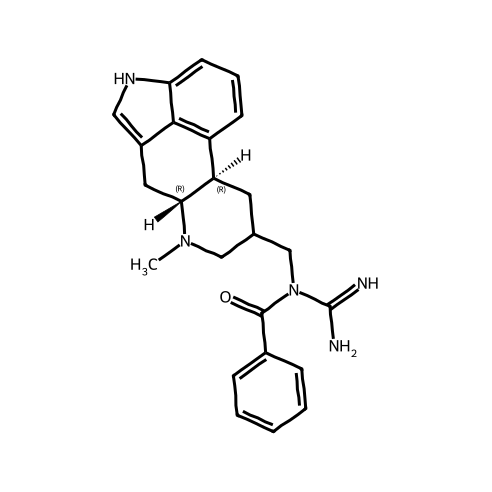 CN1CC(CN(C(=N)N)C(=O)c2ccccc2)C[C@@H]2c3cccc4[nH]cc(c34)C[C@H]21